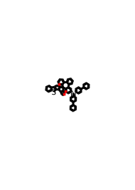 c1ccc(-c2ccc(N(c3ccc(-c4ccccc4)cc3)c3ccc4c(c3)-c3ccccc3-c3ccccc3C43c4ccccc4-c4c3ccc3c4sc4ccccc43)cc2)cc1